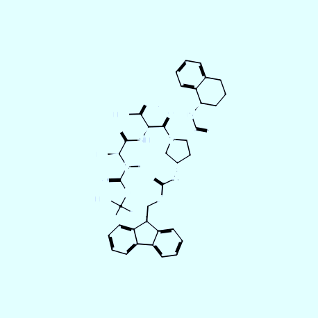 C=C(C)[C@H](NC(=O)[C@H](C)N(C)C(=O)OC(C)(C)C)C(=O)N1C[C@@H](NC(=O)OCC2c3ccccc3-c3ccccc32)C[C@H]1C(=O)N[C@@H]1CCCc2ccccc21